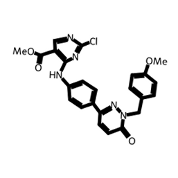 COC(=O)c1cnc(Cl)nc1Nc1ccc(-c2ccc(=O)n(Cc3ccc(OC)cc3)n2)cc1